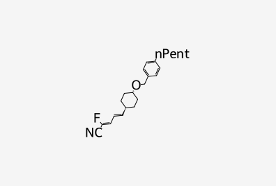 CCCCCc1ccc(CO[C@H]2CC[C@H](/C=C/C=C(\F)C#N)CC2)cc1